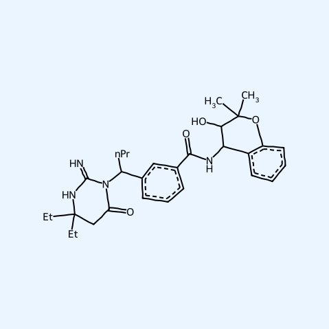 CCCC(c1cccc(C(=O)NC2c3ccccc3OC(C)(C)C2O)c1)N1C(=N)NC(CC)(CC)CC1=O